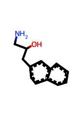 NCC(O)Cc1ccc2ccccc2c1